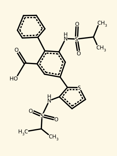 CC(C)S(=O)(=O)Nc1ccsc1-c1cc(NS(=O)(=O)C(C)C)c(-c2ccccc2)c(C(=O)O)c1